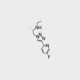 CCN[C@@H](C)Cn1cc(-c2ccc(F)cn2)nn1